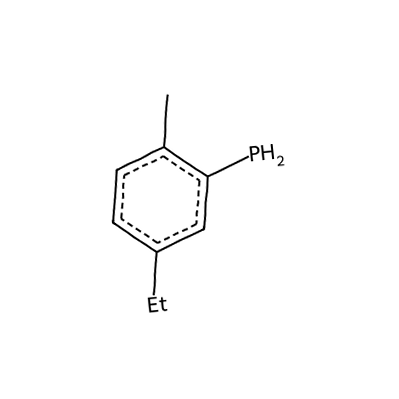 CCc1ccc(C)c(P)c1